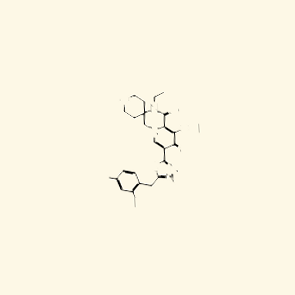 CCN1C(=O)c2c(O)c(=O)c(-c3nnc(Cc4ccc(F)cc4F)s3)cn2CC12CCOCC2